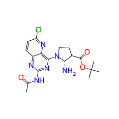 CC(=O)Nc1nc(N2CCC(C(=O)OC(C)(C)C)[C@@H]2N)c2nc(Cl)ccc2n1